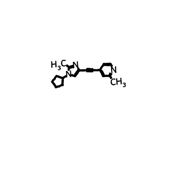 Cc1cc(C#Cc2cn(C3CCCC3)c(C)n2)ccn1